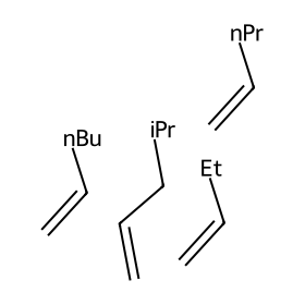 C=CCC.C=CCC(C)C.C=CCCC.C=CCCCC